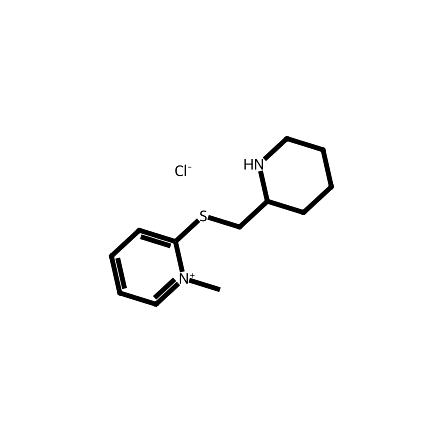 C[n+]1ccccc1SCC1CCCCN1.[Cl-]